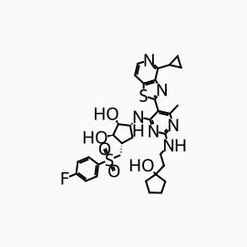 Cc1nc(NCCC2(O)CCCC2)nc(N[C@@H]2C[C@H](CS(=O)(=O)c3ccc(F)cc3)[C@@H](O)[C@H]2O)c1-c1nc2c(C3CC3)nccc2s1